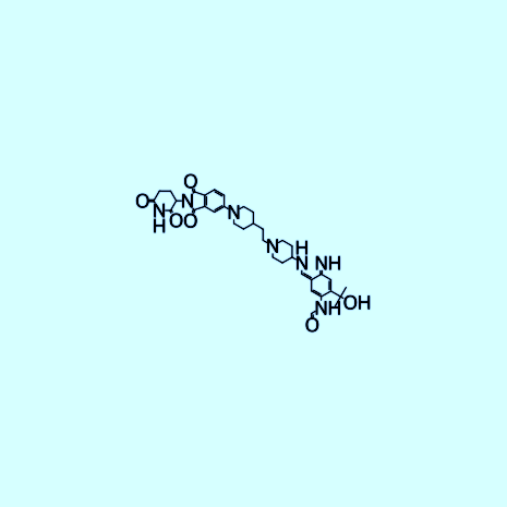 CC(C)(O)C1=CC(=N)/C(=C\NC2CCN(CCC3CCN(c4ccc5c(c4)C(=O)N(C4CCC(=O)NC4=O)C5=O)CC3)CC2)C=C1NC=O